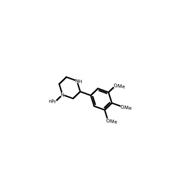 CCCN1CCNC(c2cc(OC)c(OC)c(OC)c2)C1